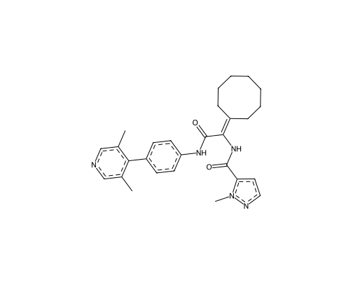 Cc1cncc(C)c1-c1ccc(NC(=O)C(NC(=O)c2ccnn2C)=C2CCCCCCC2)cc1